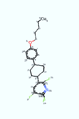 CCCCCOc1ccc(C2CCC(c3cc(F)c(F)nc3F)CC2)cc1